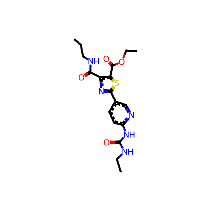 CCCNC(=O)c1nc(-c2ccc(NC(=O)NCC)nc2)sc1C(=O)OCC